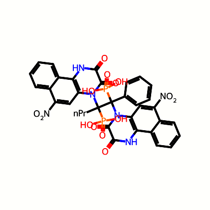 CCCC(n1c(=O)c(=O)[nH]c2c3ccccc3c([N+](=O)[O-])cc21)(C(c1ccccc1)(n1c(=O)c(=O)[nH]c2c3ccccc3c([N+](=O)[O-])cc21)P(=O)(O)O)P(=O)(O)O